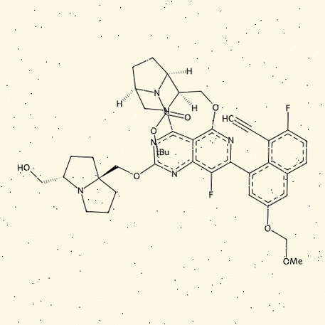 C#Cc1c(F)ccc2cc(OCOC)cc(-c3nc4c5c(nc(OC[C@@]67CCCN6[C@H](CO)CC7)nc5c3F)N3C[C@H]5CC[C@@H]([C@H]3CO4)N5C(=O)OC(C)(C)C)c12